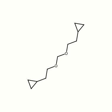 C(CC1CC1)OCOCCC1CC1